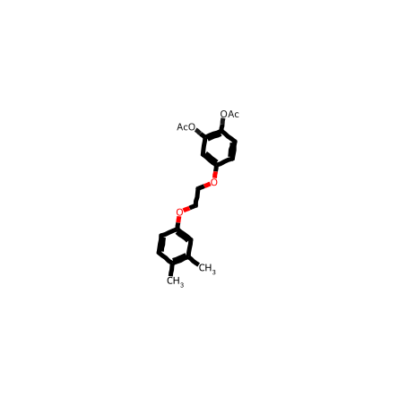 CC(=O)Oc1ccc(OCCOc2ccc(C)c(C)c2)cc1OC(C)=O